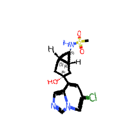 CS(=O)(=O)N[C@@H]1[C@@H]2C[C@@](O)(c3cc(Cl)cn4cncc34)C[C@@H]21